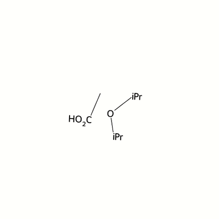 CC(=O)O.CC(C)OC(C)C